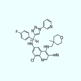 [2H][C@](Nc1cc(Cl)c2ncc(C#N)c(NCC3(C)CCOCC3)c2c1)(c1ccc(F)cc1)c1cn(-c2cccnc2)nn1